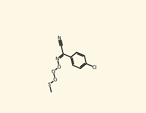 CSOOO/N=C(/C#N)c1ccc(Cl)cc1